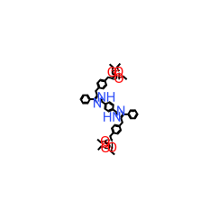 CCO[Si](CCc1ccc(Cc2[nH]c(-c3ccc(-c4nc(-c5ccccc5)c(Cc5ccc(CC[Si](OCC)(OCC)OCC)cc5)[nH]4)cc3)nc2-c2ccccc2)cc1)(OCC)OCC